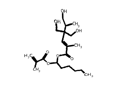 C=C(C)C(=O)OC(CCCCC)OC(=O)C(C)=CC(CO)(CO)C(C)CO